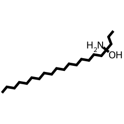 CCCCCCCCCCCCCCCCCC(N)(O)CCC